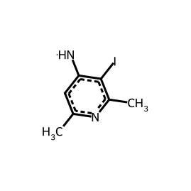 Cc1cc([NH])c(I)c(C)n1